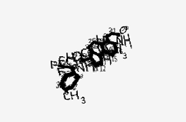 Cc1ccc(C(C)(NC(=O)C2CC[C@H]3[C@@H]4CC=C5NC(=O)CC[C@]5(C)[C@@H]4CC[C@]23C)C(F)(F)F)cc1